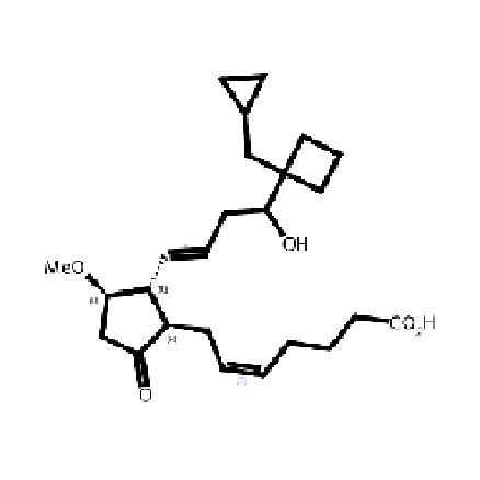 CO[C@@H]1CC(=O)[C@H](C/C=C\CCCC(=O)O)[C@H]1/C=C/CC(O)C1(CC2CC2)CCC1